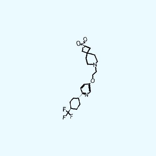 O=S1(=O)CC2(CCN(CCOc3ccc([C@H]4CC[C@H](C(F)(F)F)CC4)nc3)CC2)C1